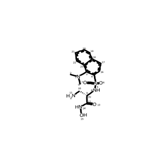 CN(C)c1c(S(=O)(=O)N[C@@H](CN)C(=O)NO)ccc2ccccc12